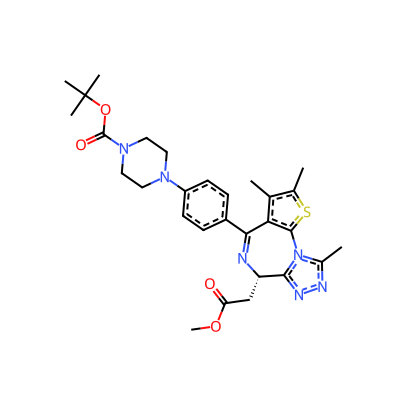 COC(=O)C[C@@H]1N=C(c2ccc(N3CCN(C(=O)OC(C)(C)C)CC3)cc2)c2c(sc(C)c2C)-n2c(C)nnc21